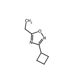 CCc1nc(C2CCC2)no1